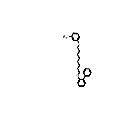 Cc1cccc(SCCCCCCCCOc2ccccc2-c2ccccc2)c1